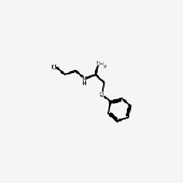 CC(COc1ccccc1)NCCCl